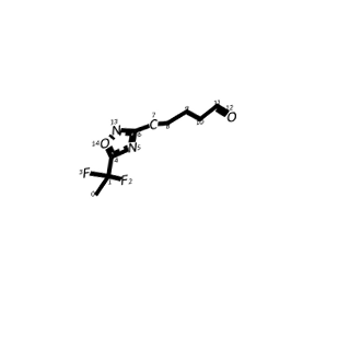 CC(F)(F)c1nc(CCCCC=O)no1